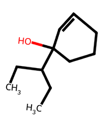 CCC(CC)C1(O)C=CCCC1